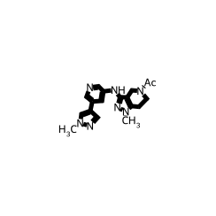 CC(=O)N1CCc2c(c(Nc3cncc(-c4cnn(C)c4)c3)nn2C)C1